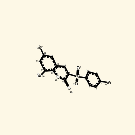 CC(C)c1ccc(S(=O)(=O)c2cc3cc(Br)cc(Br)c3oc2=O)cc1